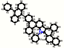 c1ccc(-c2c3ccccc3c(-c3ccc4c(c3)c3ccccc3c3c4ccc4c5c6ccccc6c6c7ccccc7ccc6c5n(-c5ccccc5)c43)c3ccccc23)cc1